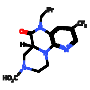 CC(C)CN1C(=O)[C@H]2CN(C(=O)O)CCN2c2ncc(C(F)(F)F)cc21